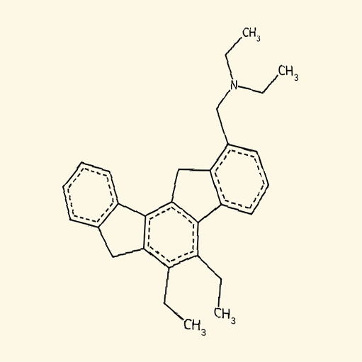 CCc1c2c(c3c(c1CC)-c1cccc(CN(CC)CC)c1C3)-c1ccccc1C2